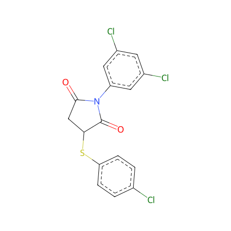 O=C1CC(Sc2ccc(Cl)cc2)C(=O)N1c1cc(Cl)cc(Cl)c1